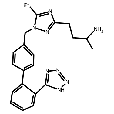 CC(N)CCc1nc(C(C)C)n(Cc2ccc(-c3ccccc3-c3nnn[nH]3)cc2)n1